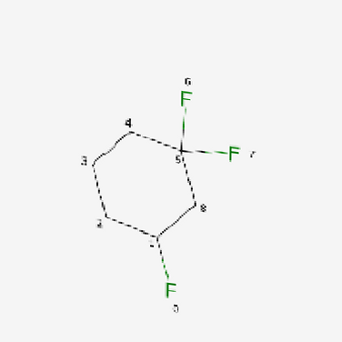 FC1CCCC(F)(F)C1